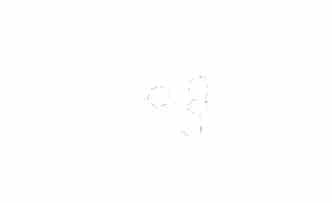 CCCCOc1ccc(C)nc1Cn1c(NC(C)=O)nc2ccc(CO)cc21